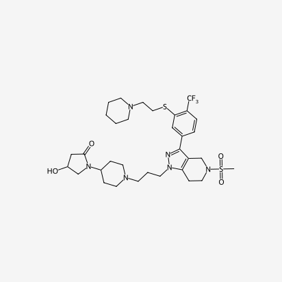 CS(=O)(=O)N1CCc2c(c(-c3ccc(C(F)(F)F)c(SCCN4CCCCC4)c3)nn2CCCN2CCC(N3CC(O)CC3=O)CC2)C1